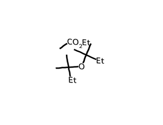 CCC(C)(C)OC(C)(C)CC.CCOC(C)=O